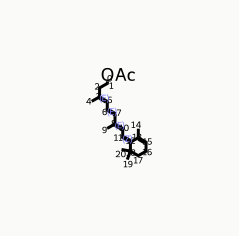 CC(=O)OCC/C(C)=C/C=C/C(C)=C/C=C1\C(C)=CCCC1(C)C